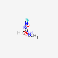 COc1cc2nn(CC(=O)N3CCC(F)(F)C3)cc2cc1NC(=O)c1cccc(C)n1